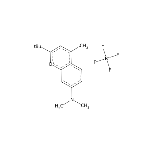 Cc1cc(C(C)(C)C)[o+]c2cc(N(C)C)ccc12.F[B-](F)(F)F